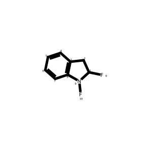 FC1Cc2[c]cccc2N1F